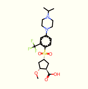 CO[C@@H]1C[C@H](S(=O)(=O)c2ccc(N3CCN(C(C)C)CC3)cc2C(F)(F)F)C[C@H]1C(=O)O